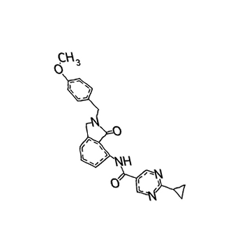 COc1ccc(CN2Cc3cccc(NC(=O)c4cnc(C5CC5)nc4)c3C2=O)cc1